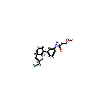 COCCC(=O)Nc1cccc(-c2cccc3cc(CBr)sc23)c1